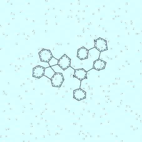 c1ccc(-c2nc(-c3cccc(-c4cccnc4-c4ccccc4)c3)cc(-c3ccc4c(c3)C3(c5ccccc5-c5ccccc53)c3ccccc3-4)n2)cc1